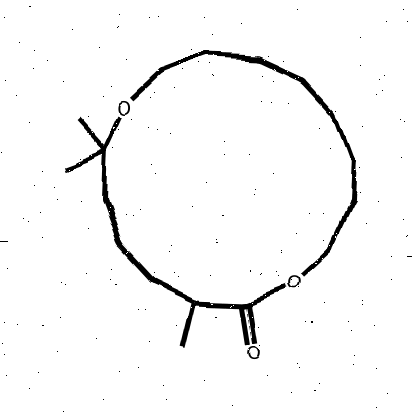 CC1CCCC(C)(C)OCCCCCCCCOC1=O